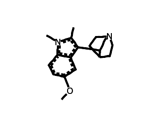 COc1ccc2c(c1)c(C1CN3CCC1CC3)c(C)n2C